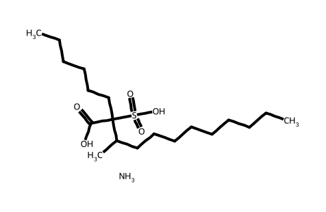 CCCCCCCCCC(C)C(CCCCCC)(C(=O)O)S(=O)(=O)O.N